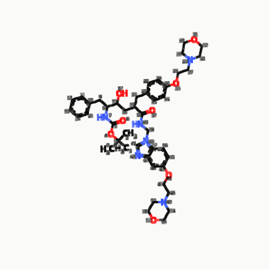 CC(C)(C)OC(=O)NC(Cc1ccccc1)C(O)CC(Cc1ccc(OCCN2CCOCC2)cc1)C(=O)NCn1cnc2cc(OCCN3CCOCC3)ccc21